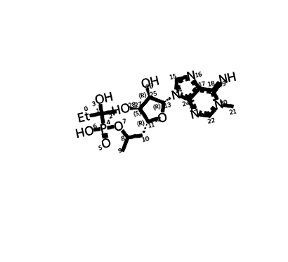 CCC(C)(O)P(=O)(O)OC(C)C[C@H]1O[C@@H](n2cnc3c(=N)n(C)cnc32)[C@H](O)[C@@H]1O